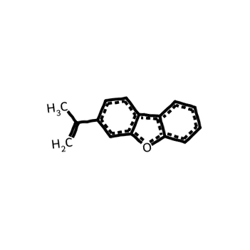 C=C(C)c1ccc2c(c1)oc1ccccc12